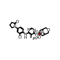 Cc1c(Nc2ccc(N3CCCC3=O)cc2Cl)ncnc1OC1CC2COCC(C1)N2C(=O)OC(C)C